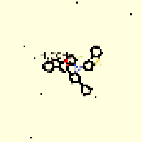 CC1(C)c2ccccc2-c2cc(-c3ccc(-c4ccccc4)cc3N(c3ccc4sc5ccccc5c4c3)c3ccccc3F)ccc21